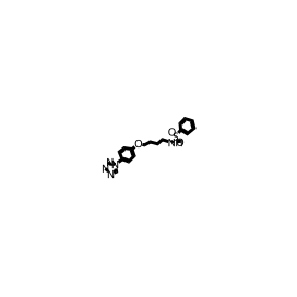 O=S(=O)(NCCCCOc1ccc(-n2cnnn2)cc1)c1ccccc1